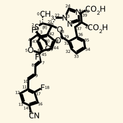 C[C@@H](S[C@H]1CO[C@H](C=CC=Cc2ccc(C#N)cc2F)OC1)[C@@](Cn1cncn1)(OC(=O)c1ccccc1CC(CC(=O)O)C(=O)O)c1ccc(F)cc1F